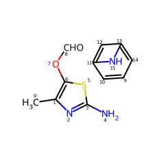 Cc1nc(N)sc1OC=O.c1cc2cc(c1)N2